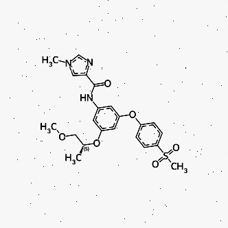 COC[C@H](C)Oc1cc(NC(=O)c2cn(C)cn2)cc(Oc2ccc(S(C)(=O)=O)cc2)c1